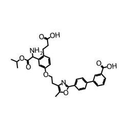 Cc1oc(-c2ccc(-c3cccc(C(=O)O)c3)cc2)nc1CCOc1ccc(CCC(=O)O)c(C(N)C(=O)OC(C)C)c1